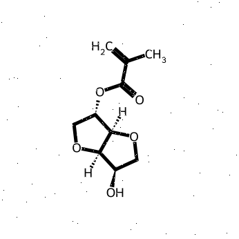 C=C(C)C(=O)O[C@H]1CO[C@H]2[C@@H]1OC[C@H]2O